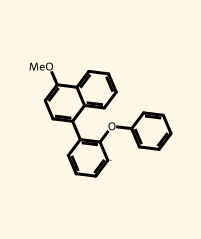 COc1ccc(-c2ccc[c]c2Oc2ccccc2)c2ccccc12